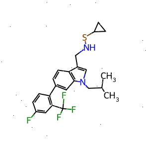 CC(C)Cn1cc(CNSC2CC2)c2ccc(-c3ccc(F)cc3C(F)(F)F)cc21